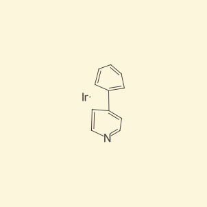 [Ir].c1ccc(-c2ccncc2)cc1